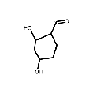 O=[C]C1CCC(O)CC1O